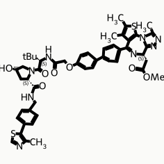 COC(=O)C[C@@H]1N=C(c2ccc(-c3ccc(OCC(=O)N[C@H](C(=O)N4C[C@H](O)C[C@H]4C(=O)NCc4ccc(-c5scnc5C)cc4)C(C)(C)C)cc3)cc2)c2c(sc(C)c2C)-n2c(C)nnc21